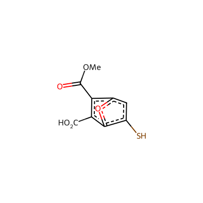 COC(=O)c1c(C(=O)O)c2oc1cc2S